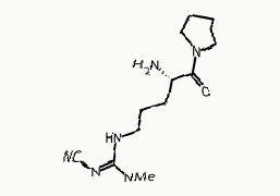 CN/C(=N/C#N)NCCC[C@H](N)C(=O)N1CCCC1